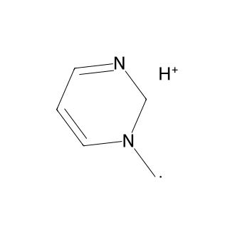 [CH2]N1C=CC=NC1.[H+]